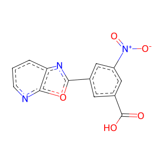 O=C(O)c1cc(-c2nc3cccnc3o2)cc([N+](=O)[O-])c1